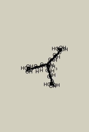 CCNC(COCCC(=O)NCCCNC(=O)CCCCO[C@H]1C[C@@H](O)[C@@H](O)[C@@H](CO)O1)(COCCC(=O)NCCCNC(=O)CCCCO[C@H]1C[C@@H](O)[C@@H](O)[C@@H](CO)O1)COCCC(=O)NCCCNC(=O)CCCCO[C@H]1C[C@@H](O)[C@@H](O)[C@@H](CO)O1